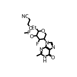 CCC1OCC(n2cnc3c(=O)[nH]c(C)nc32)C(F)C1OP(C)OCCC#N